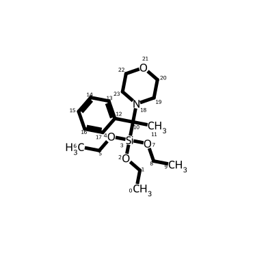 CCO[Si](OCC)(OCC)C(C)(c1ccccc1)N1CCOCC1